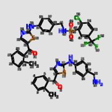 Cc1ccccc1C(=O)c1cnc(Nc2ccc(CN)cc2)s1.Cc1ccccc1C(=O)c1cnc(Nc2ccc(CNS(=O)(=O)c3cc(C(F)(F)F)ccc3Cl)cc2)s1